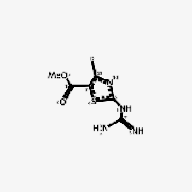 COC(=O)c1sc(NC(=N)N)nc1C